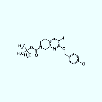 CC(C)(C)OC(=O)N1CCc2cc(I)c(OCc3ccc(Cl)cc3)nc2C1